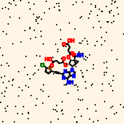 CNC(=O)C12CC1C(n1cnc3c(NC)nc(C#Cc4ccc(Cl)s4)nc31)[C@H](OC(=O)CCC(=O)O)[C@@H]2OC(=O)CCC(=O)O